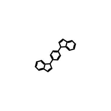 C1=CC(c2ccc(C3C=Cc4ccccc43)cc2)c2ccccc21